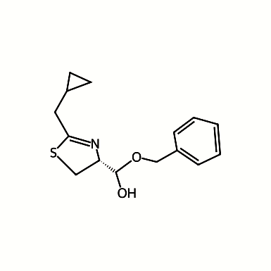 OC(OCc1ccccc1)[C@@H]1CSC(CC2CC2)=N1